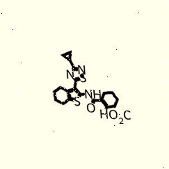 O=C(O)C1=C(C(=O)Nc2sc3c(c2-c2nc(C4CC4)ns2)CCCC3)CCCC1